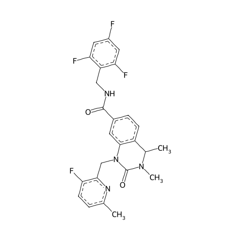 Cc1ccc(F)c(CN2C(=O)N(C)C(C)c3ccc(C(=O)NCc4c(F)cc(F)cc4F)cc32)n1